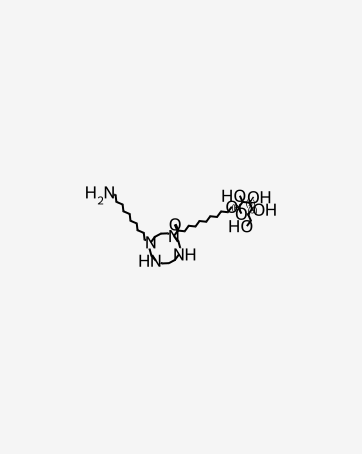 NCCCCCCCCCCN1CCCN(C(=O)CCCCCCCCCO[C@@H]2OC(CO)[C@@H](O)[C@H](O)C2O)CCNCCCNCC1